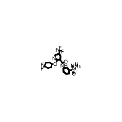 CS(=N)(=O)c1cccc(NC(=O)c2cc(C(F)(F)F)cnc2OC2CCC(F)(F)CC2)c1